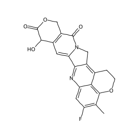 Cc1c(F)cc2nc3c(c4c2c1OCC4)Cn1c-3cc2c(c1=O)COC(=O)C2O